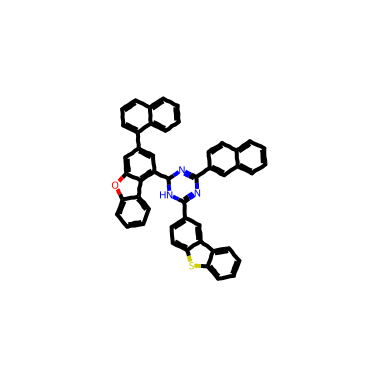 c1ccc2cc(C3=NC(c4cc(-c5cccc6ccccc56)cc5oc6ccccc6c45)NC(c4ccc5sc6ccccc6c5c4)=N3)ccc2c1